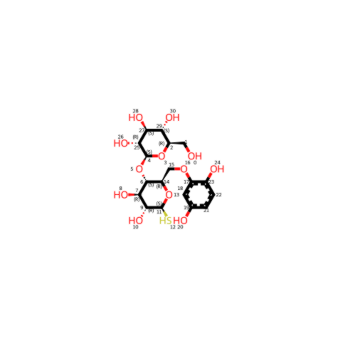 OC[C@H]1O[C@@H](O[C@H]2[C@H](O)[C@@H](O)[C@H](S)O[C@@H]2COc2cc(O)ccc2O)[C@H](O)[C@@H](O)[C@@H]1O